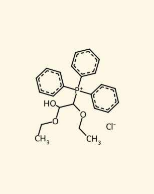 CCOC(O)C(OCC)[P+](c1ccccc1)(c1ccccc1)c1ccccc1.[Cl-]